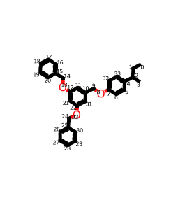 CCC(C)c1ccc(OCc2cc(OCc3ccccc3)cc(OCc3ccccc3)c2)cc1